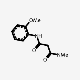 CNC(=O)CC(=O)Nc1ccccc1OC